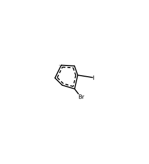 Brc1cc[c]cc1I